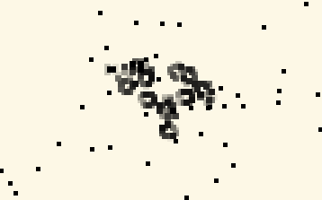 CC1(C)c2ccccc2-c2c(-c3cccc(-c4nc(-c5ccccc5)nc(-c5ccc6c(c5)-c5c(ccc7ccccc57)C65C6CC7CC(C6)CC5C7)n4)c3)cccc21